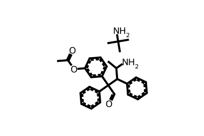 CC(=O)Oc1cccc(C(C=O)(c2ccccc2)C(c2ccccc2)C(C)N)c1.CC(C)(C)N